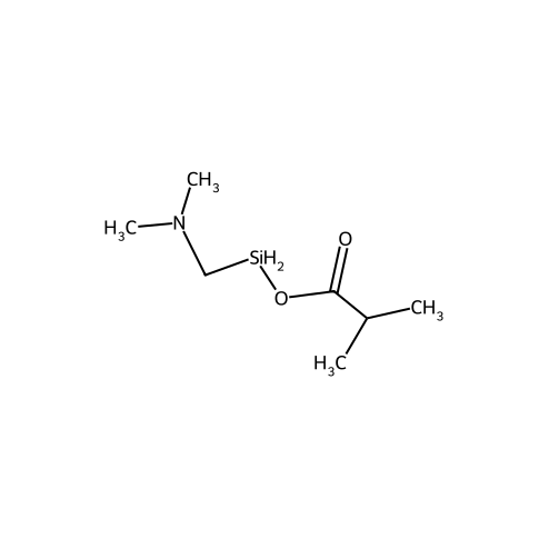 CC(C)C(=O)O[SiH2]CN(C)C